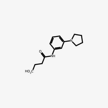 O=C(O)CCC(=O)Nc1cccc(N2CCCC2)c1